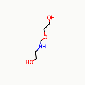 OCCNCOCCO